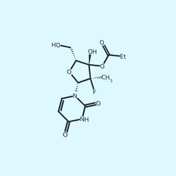 CCC(=O)O[C@@]1(O)[C@@H](CO)O[C@@H](n2ccc(=O)[nH]c2=O)[C@]1(C)F